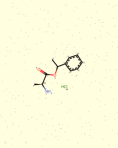 CC(OC(=O)[C@H](C)N)c1ccccc1.Cl